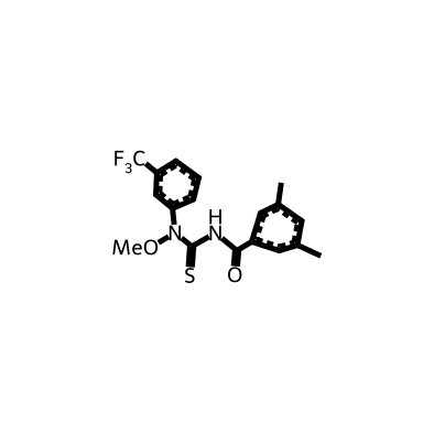 CON(C(=S)NC(=O)c1cc(C)cc(C)c1)c1cccc(C(F)(F)F)c1